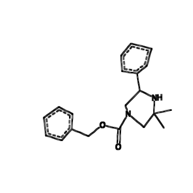 CC1(C)CN(C(=O)OCc2ccccc2)CC(c2ccccc2)N1